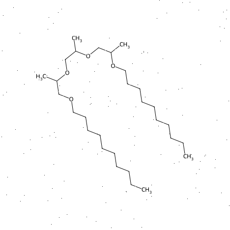 CCCCCCCCCCOCC(C)OCC(C)OCC(C)OCCCCCCCCCC